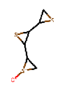 [O-][S+]1CC1C1SC1C1CS1